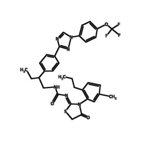 CCCc1ccc(C)cc1N1C(=O)CS/C1=N\C(=O)NCC(CC)c1ccc(-c2ncn(-c3ccc(OC(F)(F)F)cc3)n2)cc1